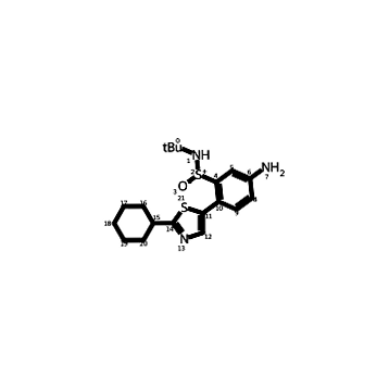 CC(C)(C)N[S+]([O-])c1cc(N)ccc1-c1cnc(C2CCCCC2)s1